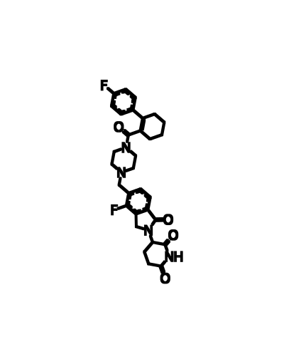 O=C1CCC(N2Cc3c(ccc(CN4CCN(C(=O)C5=C(c6ccc(F)cc6)CCCC5)CC4)c3F)C2=O)C(=O)N1